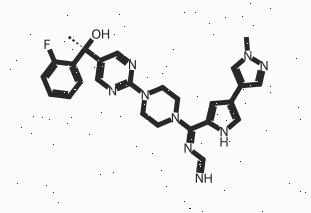 Cn1cc(-c2c[nH]c(/C(=N\C=N)N3CCN(c4ncc([C@](C)(O)c5ccccc5F)cn4)CC3)c2)cn1